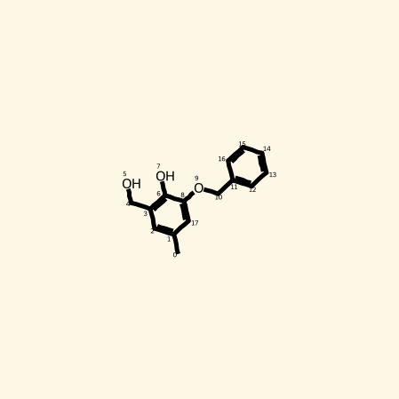 Cc1cc(CO)c(O)c(OCc2ccccc2)c1